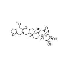 COCC(=O)N(CC1CCCO1)C(C)C1CC[C@@]2(O)C3=CC(=O)[C@@H]4C[C@@H](O)[C@@H](O)C[C@]4(C)C3CC[C@]12C